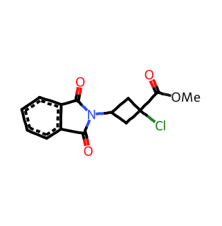 COC(=O)C1(Cl)CC(N2C(=O)c3ccccc3C2=O)C1